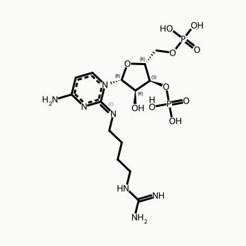 N=C(N)NCCCC/N=c1\nc(N)ccn1[C@@H]1O[C@H](COP(=O)(O)O)[C@@H](OP(=O)(O)O)[C@H]1O